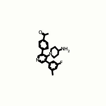 CC(=O)c1ccc(-c2cncc(-c3cc(C)cc(F)c3)c2N2CCC(N)CC2)cc1